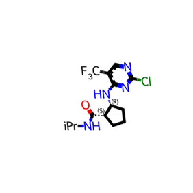 CC(C)NC(=O)[C@H]1CCC[C@H]1Nc1nc(Cl)ncc1C(F)(F)F